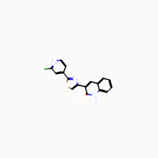 O=c1[nH]c2ccccc2cc1-c1csc(-c2ccnc(Cl)c2)n1